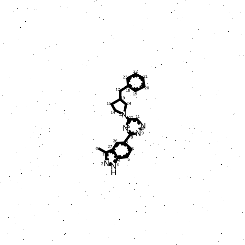 Cc1n[nH]c2ccc(-c3nncc(N4CCC(Cc5ccccc5)C4)n3)cc12